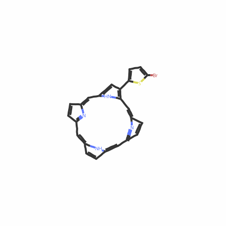 Brc1ccc(-c2cc3cc4nc(cc5ccc(cc6nc(cc2[nH]3)C=C6)[nH]5)C=C4)s1